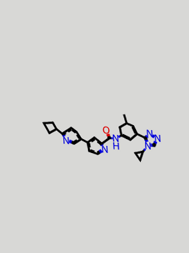 CC1C=C(c2nncn2C2CC2)C=C(NC(=O)c2cc(-c3ccc(C4CCC4)nc3)ccn2)C1